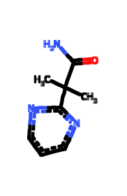 CC(C)(C(N)=O)c1ncccn1